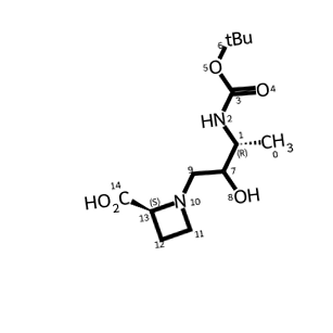 C[C@@H](NC(=O)OC(C)(C)C)C(O)CN1CC[C@H]1C(=O)O